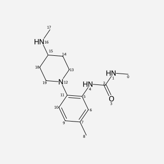 CNC(=O)Nc1cc(C)ccc1N1CCC(NC)CC1